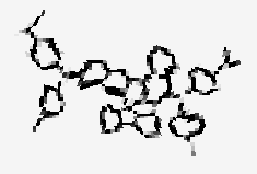 CC(C)c1ccc(N(c2ccc(F)cc2)c2ccc3cc4c(cc3c2)C2(c3ccccc3-c3ccccc32)c2cc(N(c3ccc(F)cc3)c3ccc(C(C)C)cc3)c3ccccc3c2-4)cc1